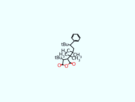 CC(C)(C)C(CC(C)(C)C(C)(C)C1C(=O)OC(=O)C1C(C)(C)C)c1ccccc1